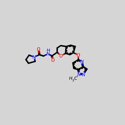 Cn1ncc2nc(Oc3ccc4c(c3)OC(C(=O)NCC(=O)N3CCCC3)CC4)ccc21